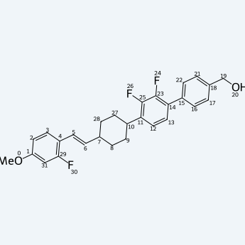 COc1ccc(/C=C/C2CCC(c3ccc(-c4ccc(CO)cc4)c(F)c3F)CC2)c(F)c1